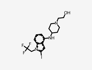 OCCN1CCC(Nc2cccc3c2cc(I)n3CC(F)(F)F)CC1